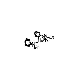 CCc1noc(CN(CCN(c2ccccc2)C(C)C)c2ccccc2)n1